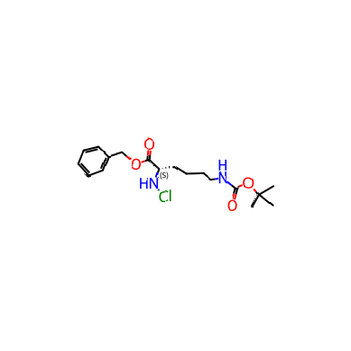 CC(C)(C)OC(=O)NCCCC[C@H](NCl)C(=O)OCc1ccccc1